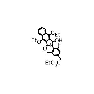 CCOC(=O)Cc1cc(F)c(N2C(=O)c3c(c(OCC)c4ccccc4c3OCC)C2O)c(F)c1